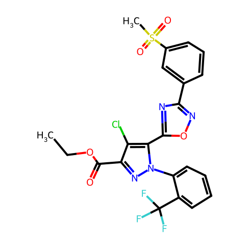 CCOC(=O)c1nn(-c2ccccc2C(F)(F)F)c(-c2nc(-c3cccc(S(C)(=O)=O)c3)no2)c1Cl